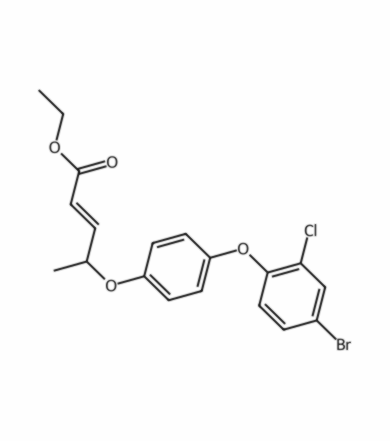 CCOC(=O)C=CC(C)Oc1ccc(Oc2ccc(Br)cc2Cl)cc1